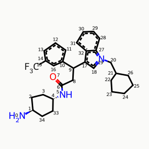 N[C@H]1CC[C@H](NC(=O)CC(c2cccc(C(F)(F)F)c2)c2cn(CC3CCCCC3)c3ccccc23)CC1